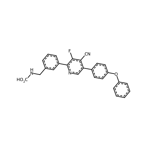 N#Cc1c(-c2ccc(Oc3ccccc3)cc2)cnc(-c2cccc(CNC(=O)O)c2)c1F